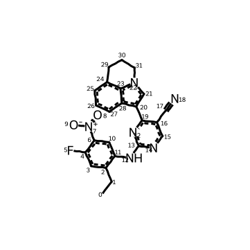 CCc1cc(F)c([N+](=O)[O-])cc1Nc1ncc(C#N)c(-c2cn3c4c(cccc24)CCC3)n1